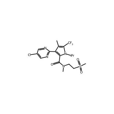 Cc1c(-c2ncc(Cl)cn2)c(C(=O)N(C)CCS(C)(=O)=O)n(C(C)C)c1C(F)(F)F